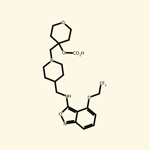 O=C(O)OC1(CN2CCC(CNc3onc4cccc(OCC(F)(F)F)c34)CC2)CCOCC1